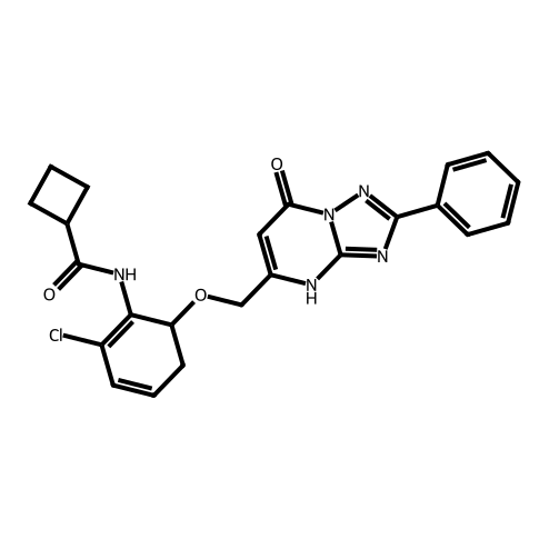 O=C(NC1=C(Cl)C=CCC1OCc1cc(=O)n2nc(-c3ccccc3)nc2[nH]1)C1CCC1